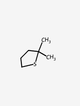 CC1(C)CCCS1